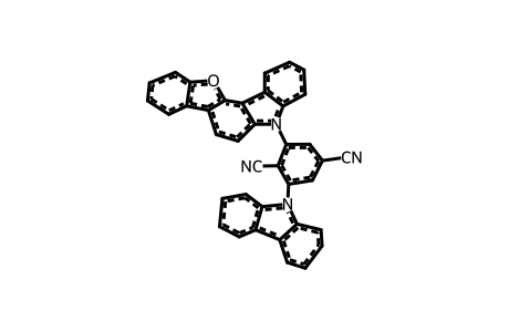 N#Cc1cc(-n2c3ccccc3c3ccccc32)c(C#N)c(-n2c3ccccc3c3c4oc5ccccc5c4ccc32)c1